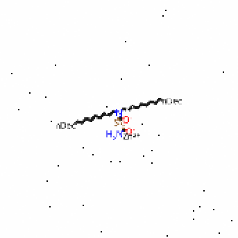 CCCCCCCCCCCCCCCCCCCN(CCCCCCCCCCCCCCCCCCC)C([O-])=S.NC([O-])=S.[Zn+2]